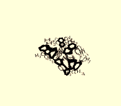 CC1(C)CCC(C)(C)c2cc(Nc3cc4c(cc3-c3cc5oc6ccccc6c5c5c3Bc3cc6c(cc3N5c3ccc5c(c3)C(C)(C)CCC5(C)C)C(C)(C)CCC6(C)C)C(C)(C)c3ccccc3-4)ccc21